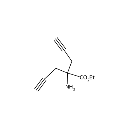 C#CCC(N)(CC#C)C(=O)OCC